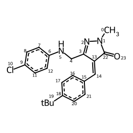 CN1N=C(CNc2ccc(Cl)cc2)/C(=C\c2ccc(C(C)(C)C)cc2)C1=O